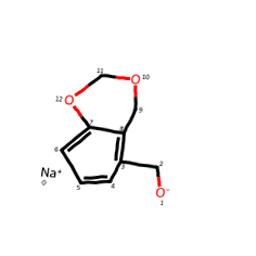 [Na+].[O-]Cc1cccc2c1COCO2